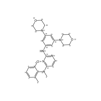 Cc1cccc(Cl)c1N(C)c1ccnc(Nc2cc(N3CCOCC3)cc(N3CCOCC3)c2)n1